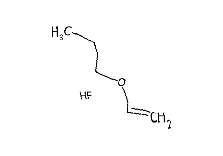 C=COCCC.F